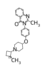 Cc1nc2ccccc2c(=O)n1-c1ccc(OC2CCN(C3CC[C@@H]3C)CC2)cc1